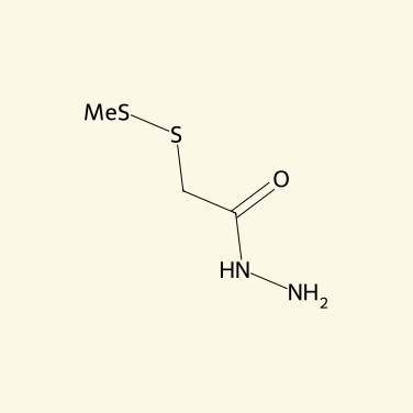 CSSCC(=O)NN